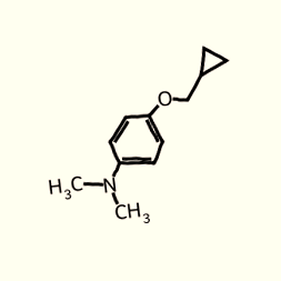 CN(C)c1ccc(OCC2CC2)cc1